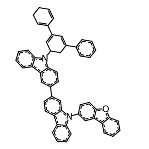 C1=CC(C2=CC(n3c4ccccc4c4cc(-c5ccc6c7ccccc7n(-c7ccc8oc9ccccc9c8c7)c6c5)ccc43)CC(c3ccccc3)=C2)=CCC1